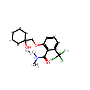 CN(C)C(=O)c1c(OCC2(O)CCCCC2)cccc1C(F)(F)F